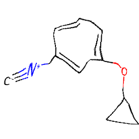 [C-]#[N+]c1cccc(OC2CC2)c1